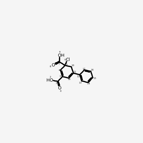 O=C(O)C1=CC(Cl)(C(=O)O)CC(c2ccccc2)=C1